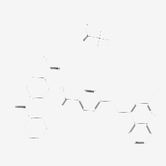 Cc1cc(COc2ccc(C(=O)N[C@@H]3CN(C(=O)N4CCOCC4)CC[C@@H]3C(=O)NO)cc2)c2ccccc2n1.O=C(O)C(F)(F)F